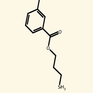 O=C(OCCC[SiH3])c1cccc(I)c1